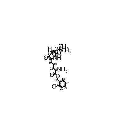 CC(C)(C)OC(=O)N[C@@H](CCCC(N)C(=O)OCc1ccccc1Cl)C(=O)O